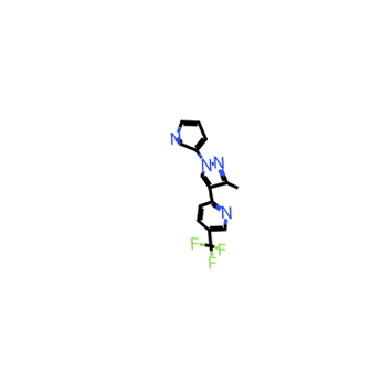 Cc1nn(-c2cccnc2)cc1-c1ccc(C(F)(F)F)cn1